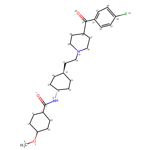 COC1CCC(C(=O)N[C@H]2CC[C@H](CCN3CCC(C(=O)c4ccc(F)cc4)CC3)CC2)CC1